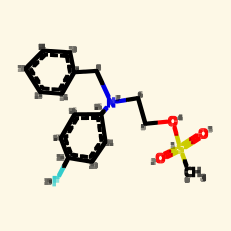 CS(=O)(=O)OCCN(Cc1ccccc1)c1ccc(F)cc1